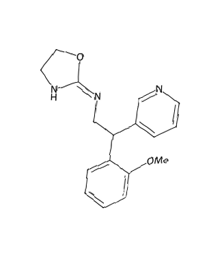 COc1ccccc1C(CN=C1NCCO1)c1cccnc1